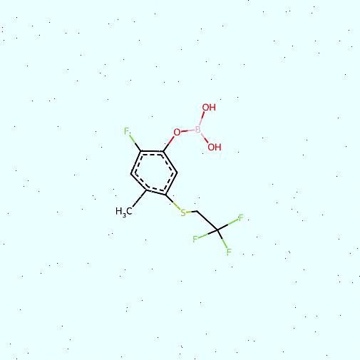 Cc1cc(F)c(OB(O)O)cc1SCC(F)(F)F